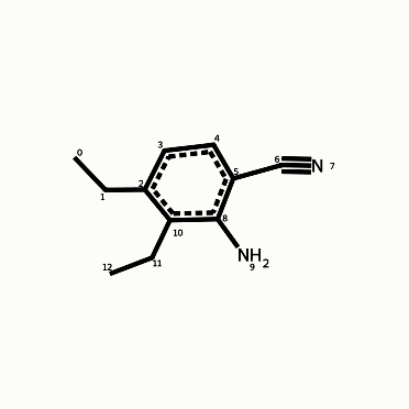 CCc1ccc(C#N)c(N)c1CC